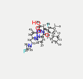 CCc1cc(-c2c(C)cc(C)cc2C)cc([C@H](CC(=O)O)NC(=O)[C@H](CC(C)C)n2nc(CCN3CC(F)C3)cc(C)c2=O)c1F